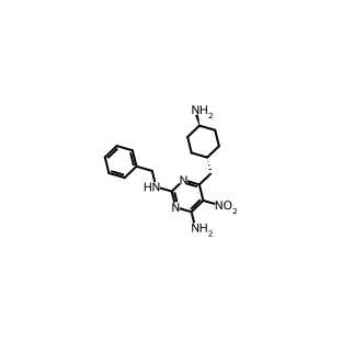 Nc1nc(NCc2ccccc2)nc(C[C@H]2CC[C@H](N)CC2)c1[N+](=O)[O-]